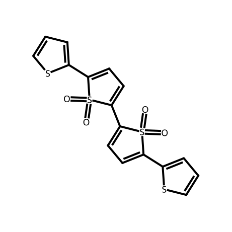 O=S1(=O)C(C2=CC=C(c3cccs3)S2(=O)=O)=CC=C1c1cccs1